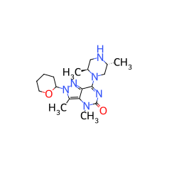 Cc1c2c(nn1C1CCCCO1)c(N1C[C@@H](C)NC[C@@H]1C)nc(=O)n2C